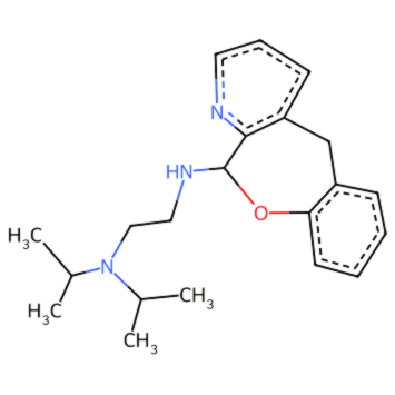 CC(C)N(CCNC1Oc2ccccc2Cc2cccnc21)C(C)C